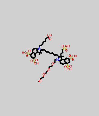 COCCOCCOCCOCC[N+]1=C(/C=C/C=C/C=C/C=C2/N(CCCCCC(=O)O)c3ccc4c(S(=O)(=O)O)cc(S(=O)(=O)O)cc4c3C2(C)C)C(C)(CCCS(=O)(=O)O)c2c1ccc1c(S(=O)(=O)O)cc(S(=O)(=O)O)cc21